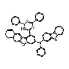 C1=Cc2cc3c(cc2CC1)oc1cc(N(c2ccccc2)c2ccc4c(c2)sc2ccccc24)cc(C2=NC(c4ccccc4)=NC(c4ccccc4)N2)c13